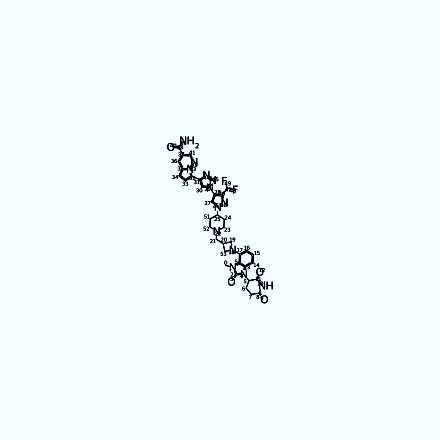 Cn1c(=O)n(C2CCC(=O)NC2=O)c2cccc(N3CC(CN4CCC(n5cc(-n6cc(-c7ccc8cc(C(N)=O)cnn78)nn6)c(C(F)F)n5)CC4)C3)c21